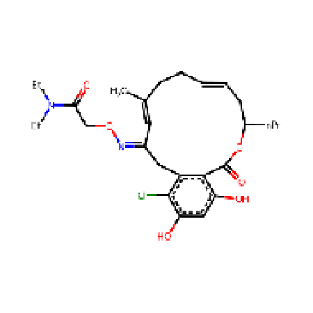 CCCC1C/C=C/CC/C(C)=C/C(=N\OCC(=O)N(CC)CC)Cc2c(Cl)c(O)cc(O)c2C(=O)O1